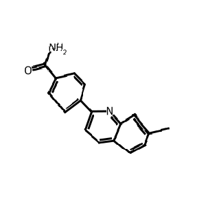 Cc1ccc2ccc(-c3ccc(C(N)=O)cc3)nc2c1